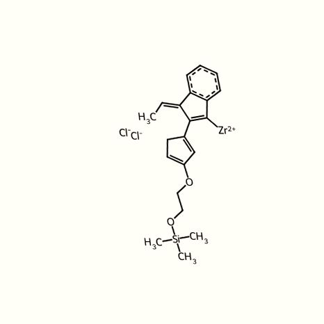 CC=C1C(C2=CC(OCCO[Si](C)(C)C)=CC2)=[C]([Zr+2])c2ccccc21.[Cl-].[Cl-]